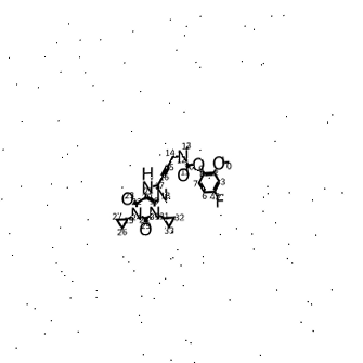 COc1cc(F)ccc1OC(=O)N(C)CC#Cc1nc2c([nH]1)c(=O)n(C1CC1)c(=O)n2C1CC1